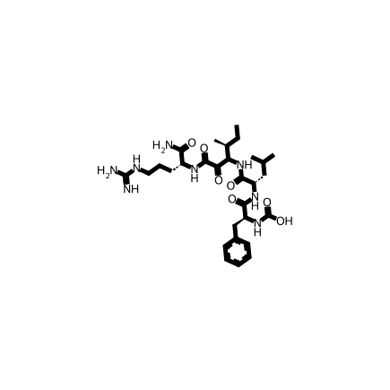 CC[C@H](C)C(NC(=O)[C@H](CC(C)C)NC(=O)[C@H](Cc1ccccc1)NC(=O)O)C(=O)C(=O)N[C@H](CCCNC(=N)N)C(N)=O